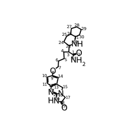 NC(=O)C(CCCCOc1ccc2c(c1)CN1CC(=O)NC1=N2)C1CCC2CCCCC2N1